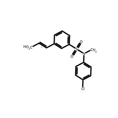 CN(c1ccc(Cl)cc1)S(=O)(=O)c1cccc(/C=C/C(=O)O)c1